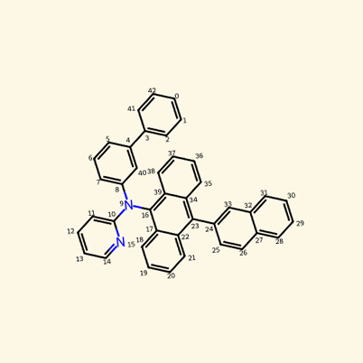 c1ccc(-c2cccc(N(c3ccccn3)c3c4ccccc4c(-c4ccc5ccccc5c4)c4ccccc34)c2)cc1